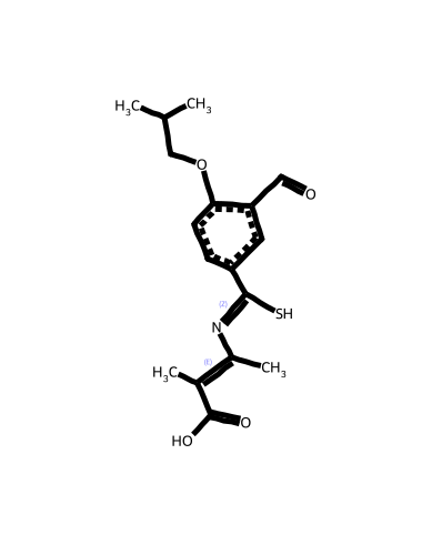 CC(/N=C(\S)c1ccc(OCC(C)C)c(C=O)c1)=C(/C)C(=O)O